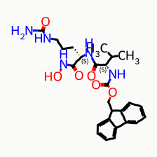 CC(C)[C@H](NC(=O)OCC1c2ccccc2-c2ccccc21)C(=O)N[C@@H](CCCNC(N)=O)C(=O)NO